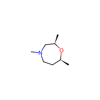 C[C@@H]1CN(C)CC[C@H](C)O1